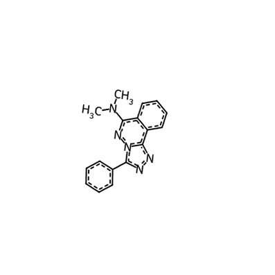 CN(C)c1nn2c(-c3ccccc3)nnc2c2ccccc12